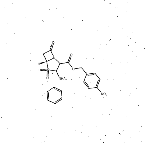 CC(=O)NC1C(C(=O)OCc2ccc([N+](=O)[O-])cc2)N2C(=O)C[C@H]2S1(=O)=O.c1ccccc1